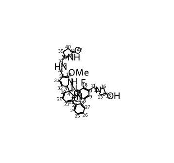 COc1nc(C2(Nc3nccc(CN4CC(O)C4)c3F)C=CC=C(c3ccccc3)C2(Cl)Cl)ccc1CNC[C@@H]1CCC(=O)N1